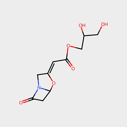 O=C(C=C1CN2C(=O)CC2O1)OCC(O)CO